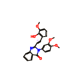 COc1ccc(-n2c(/C=C/c3cccc(OC)c3O)nc3ccccc3c2=O)cc1OC